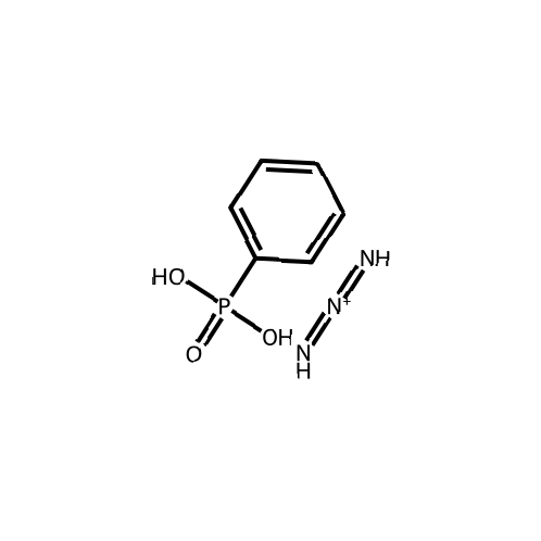 N=[N+]=N.O=P(O)(O)c1ccccc1